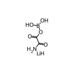 NC(=O)C(=O)OB(O)O.[LiH]